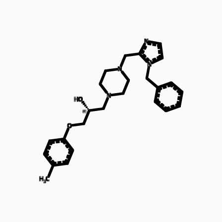 Cc1ccc(OC[C@H](O)CN2CCN(Cc3nccn3Cc3ccccc3)CC2)cc1